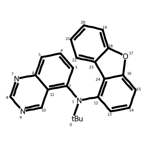 CC(C)(C)N(c1cccc2ncncc12)c1cccc2oc3ccccc3c12